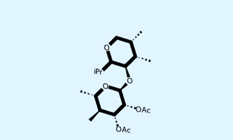 CC(=O)O[C@@H]1[C@@H](C)[C@H](C)O[C@@H](O[C@H]2C(C(C)C)OC[C@H](C)[C@@H]2C)[C@@H]1OC(C)=O